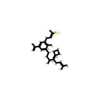 C=C(C)c1cc(C/C=C(\C)S)c(C)c(CCC(C)C(CC=C(C)C)=C2CCC2)c1